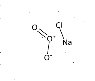 O=[O+][O-].[Na][Cl]